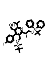 CC(C)c1nc([C@H](C)CO[Si](c2ccccc2)(c2ccccc2)C(C)(C)C)c(CO[Si](C)(C)C(C)(C)C)c(-c2ccc(F)cc2)c1CO